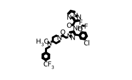 CN(CCc1ccc(C(F)(F)F)cc1)C1CCN(C(=O)Cn2cc(NC(=O)c3cnn4cccnc34)c(-c3cc(Cl)ccc3OC(F)F)n2)CC1